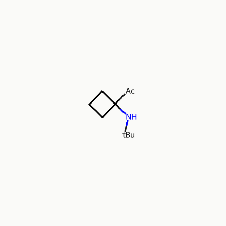 CC(=O)C1(NC(C)(C)C)CCC1